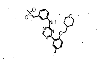 CS(=O)(=O)Cc1cccc(Nc2ncnc(-c3cc(F)ccc3OCC3CCOCC3)n2)c1